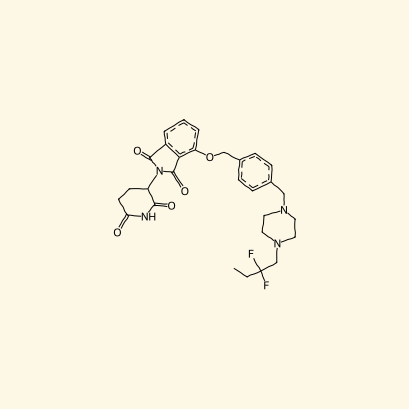 CCC(F)(F)CN1CCN(Cc2ccc(COc3cccc4c3C(=O)N(C3CCC(=O)NC3=O)C4=O)cc2)CC1